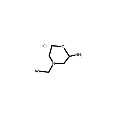 CC(=O)CN1CCOC(N)C1.Cl